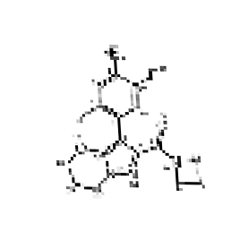 CCc1cc(C)c(-c2c(C(=O)N3CCC3)nn3c2OCCC3)cc1F